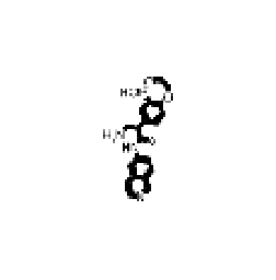 NCC(C(=O)Nc1ccc2cnccc2c1)c1ccc2c(c1)B(O)OCCO2